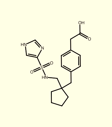 O=C(O)Cc1ccc(CC2(CNS(=O)(=O)c3c[nH]cn3)CCCC2)cc1